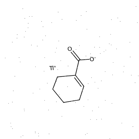 O=C([O-])C1=CCCCC1.[Tl+]